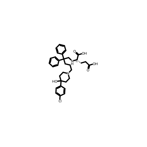 O=C(O)CC[C@H](NCC(CCCN1CCC(O)(c2ccc(Cl)cc2)CC1)(c1ccccc1)c1ccccc1)C(=O)O